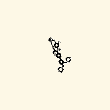 Cn1ccnc1Sc1ccc(Nc2c(C#N)cnc3cc(-c4ccc(CN5CCOCC5)c(CN5CCOCC5)c4)ccc23)cc1Cl